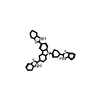 C1=CC2SC(C3CCC4C(C3)C3C=C(C5NC6CCCCC6S5)C=CC3N4C3=CCC(C4Nc5ccccc5S4)CC3)NC2CC1